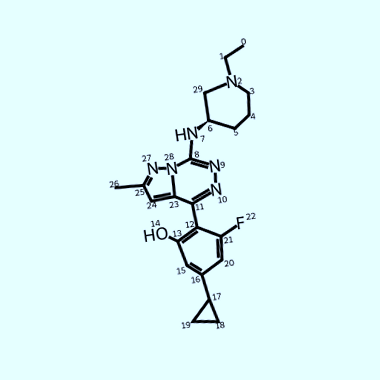 CCN1CCC[C@@H](Nc2nnc(-c3c(O)cc(C4CC4)cc3F)c3cc(C)nn23)C1